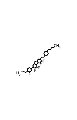 CCCCCC1CCC(CCc2cc3c(c(F)c2F)-c2c(cc(-c4ccc(CCC)c(F)c4)c(F)c2F)C3)CC1